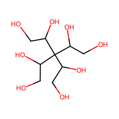 OCC(O)C(C(O)CO)(C(O)CO)C(O)CO